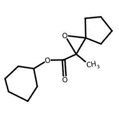 CC1(C(=O)OC2CCCCC2)OC12CCCC2